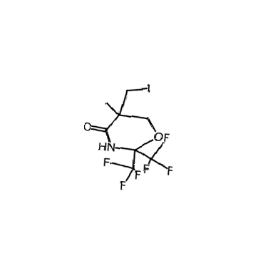 CC1(CI)COC(C(F)(F)F)(C(F)(F)F)NC1=O